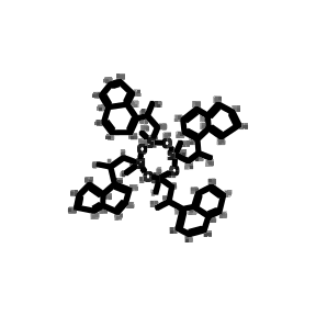 CC(C[Si]1(C)O[Si](C)(CC(C)c2cccc3ccccc23)O[Si](C)(CC(C)c2cccc3ccccc23)O[Si](C)(CC(C)c2cccc3ccccc23)O1)c1cccc2ccccc12